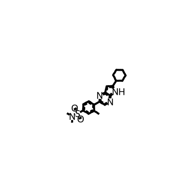 Cc1cc(S(=O)(=O)N(C)C)ccc1-c1cnc2[nH]c(C3CCCCC3)cc2n1